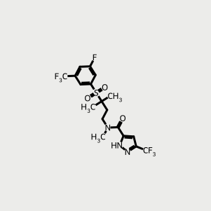 CN(CCC(C)(C)S(=O)(=O)c1cc(F)cc(C(F)(F)F)c1)C(=O)c1cc(C(F)(F)F)n[nH]1